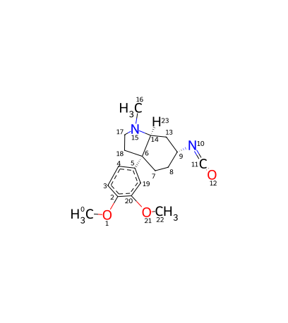 COc1ccc([C@@]23CC[C@@H](N=C=O)C[C@@H]2N(C)CC3)cc1OC